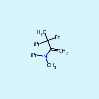 C=C(N(C)C(C)C)C(C)(CC)C(C)C